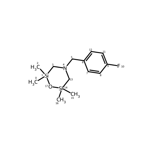 C[Si]1(C)CN(Cc2ccc(F)cc2)C[Si](C)(C)O1